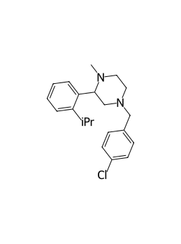 CC(C)c1ccccc1C1CN(Cc2ccc(Cl)cc2)CCN1C